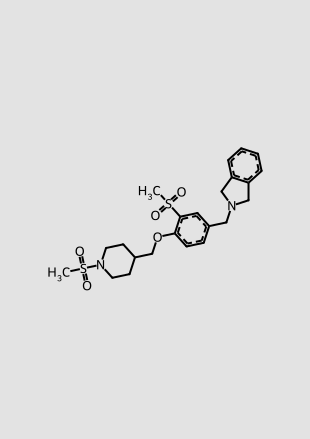 CS(=O)(=O)c1cc(CN2Cc3ccccc3C2)ccc1OCC1CCN(S(C)(=O)=O)CC1